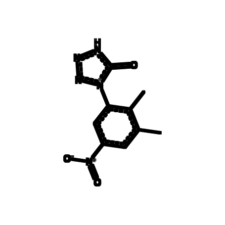 Cc1cc([N+](=O)[O-])cc(-n2nn[nH]c2=O)c1C